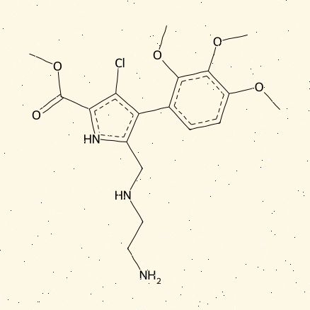 COC(=O)c1[nH]c(CNCCN)c(-c2ccc(OC)c(OC)c2OC)c1Cl